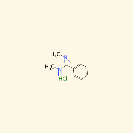 C/N=C(\NC)c1ccccc1.Cl